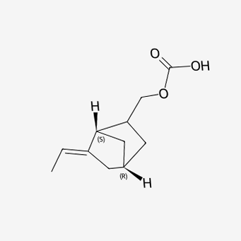 CC=C1C[C@H]2CC(COC(=O)O)[C@@H]1C2